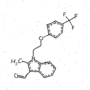 Cc1c(C=O)c2ccccc2n1CCOc1ccc(C(F)(F)F)cc1